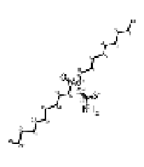 CCCCCCCCC[CH2][Mo+](=[O])[CH2]CCCCCCCCC.NC(=S)[S-]